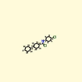 Cl/C(=N\c1ccc(Cl)cc1)c1ccc(-c2ccccc2)cc1